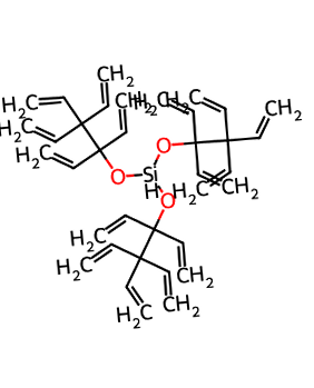 C=CC(C=C)(C=C)C(C=C)(C=C)O[SiH](OC(C=C)(C=C)C(C=C)(C=C)C=C)OC(C=C)(C=C)C(C=C)(C=C)C=C